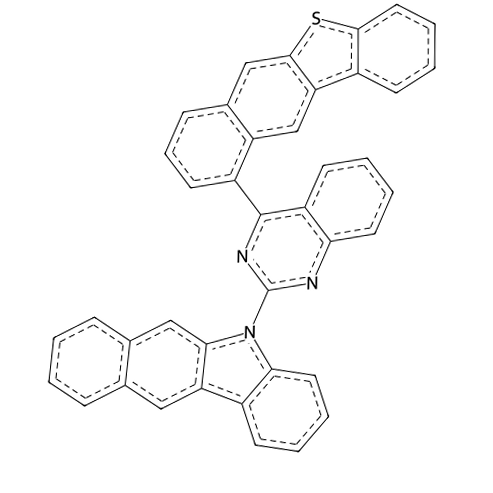 c1ccc2cc3c(cc2c1)c1ccccc1n3-c1nc(-c2cccc3cc4sc5ccccc5c4cc23)c2ccccc2n1